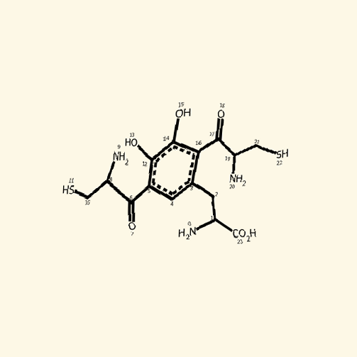 NC(Cc1cc(C(=O)C(N)CS)c(O)c(O)c1C(=O)C(N)CS)C(=O)O